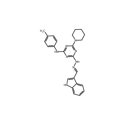 Cc1ccc(Nc2nc(N/N=C/c3c[nH]c4ccccc34)nc(N3CCCCC3)n2)cc1